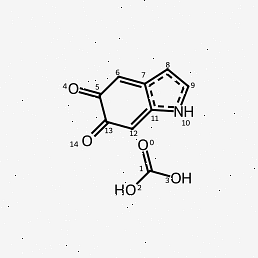 O=C(O)O.O=C1C=c2cc[nH]c2=CC1=O